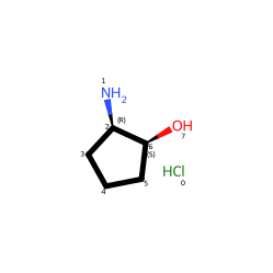 Cl.N[C@@H]1CCC[C@@H]1O